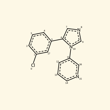 Clc1cccc(-c2cncn2-c2cccnc2)c1